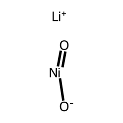 [Li+].[O]=[Ni][O-]